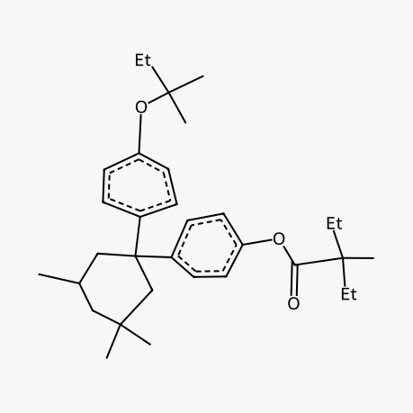 CCC(C)(C)Oc1ccc(C2(c3ccc(OC(=O)C(C)(CC)CC)cc3)CC(C)CC(C)(C)C2)cc1